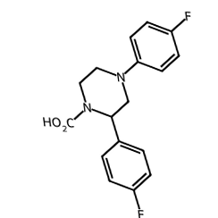 O=C(O)N1CCN(c2ccc(F)cc2)CC1c1ccc(F)cc1